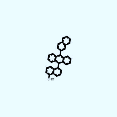 O=Cc1cccc2c(-c3c4ccccc4c(-c4ccc5ccccc5c4)c4ccccc34)cccc12